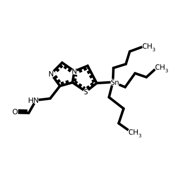 CCC[CH2][Sn]([CH2]CCC)([CH2]CCC)[c]1cn2cnc(CNC=O)c2s1